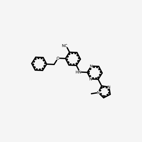 Cn1ccnc1-c1ccnc(Nc2ccc(C#N)c(OCc3ccccc3)c2)n1